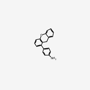 Nc1ccc(-c2cccc3c2Cc2ccccc2O3)cc1